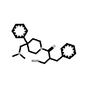 CNCC(Cc1ccccc1)C(=O)N1CCC(CN(C)C)(c2ccccc2)CC1